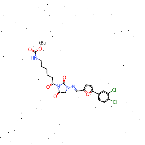 CC(C)(C)OC(=O)NCCCCCC(=O)N1C(=O)CN(N=Cc2ccc(-c3ccc(Cl)c(Cl)c3)o2)C1=O